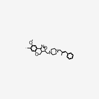 [CH2]c1cc2c(cc1OC)C1=NOC(CN3CCN(C/C(C)=C/c4ccccc4)CC3)C1CO2